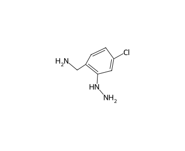 NCc1ccc(Cl)cc1NN